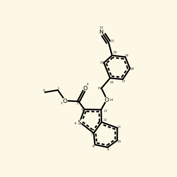 CCOC(=O)c1sc2ccccc2c1OCc1cccc(C#N)c1